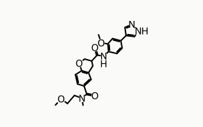 COCCN(C)C(=O)c1ccc2c(c1)CC(C(=O)Nc1ccc(-c3cn[nH]c3)cc1OC)CO2